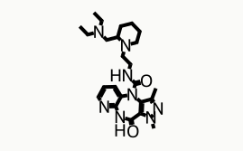 CCN(CC)CC1CCCCN1CCNC(=O)N1c2cccnc2NC(=O)c2c1c(C)nn2C